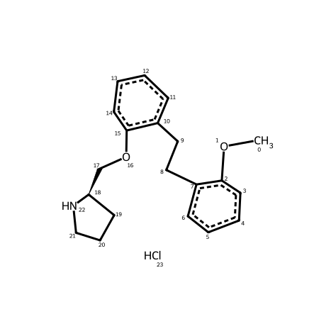 COc1ccccc1CCc1ccccc1OC[C@H]1CCCN1.Cl